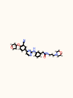 N#Cc1cc(-c2ccnc(Nc3cccc(CC(=O)NCCCN4CCOCC4)c3)n2)ccc1OC1CCOCC1